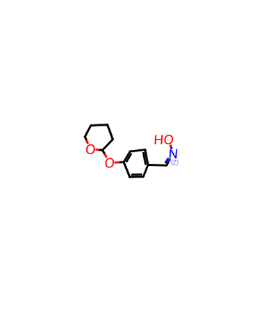 O/N=C\c1ccc(OC2CCCCO2)cc1